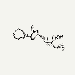 NC[C@@H](CNc1ccc(N2CCCSCCC2)c(F)c1)OO